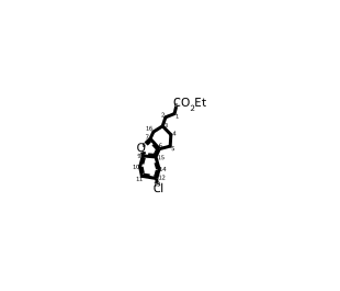 CCOC(=O)CCC1CCc2c(oc3ccc(Cl)cc23)C1